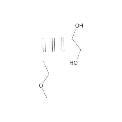 C=C.C=C.C=C.CCOC.OCCO